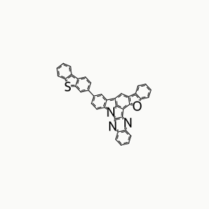 c1ccc2nc3c(nc2c1)c1c2oc4ccccc4c2cc2c4cc(-c5ccc6c(c5)sc5ccccc56)ccc4n3c21